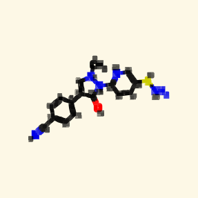 Cn1cc(-c2ccc(C#N)cc2)c(=O)n1-c1ccc(SN)cn1